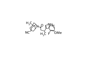 COc1cnc2[nH]cc(C(C)CC(=O)N3C4CC5(C)CC3CC(C#N)(C4)C5)c2c1F